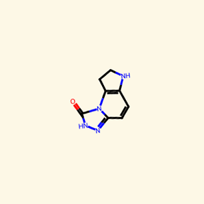 O=c1[nH]nc2ccc3c(n12)CCN3